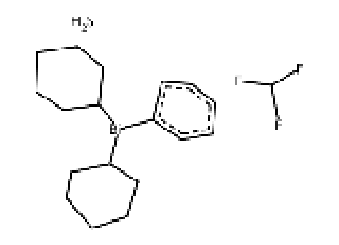 FC(F)F.S.c1cc[c]([Bi]([CH]2CCCCC2)[CH]2CCCCC2)cc1